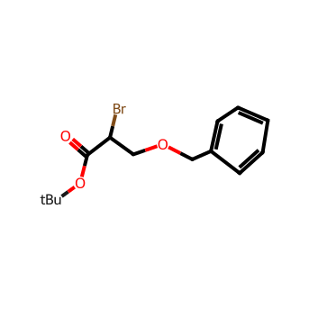 CC(C)(C)OC(=O)C(Br)COCc1ccccc1